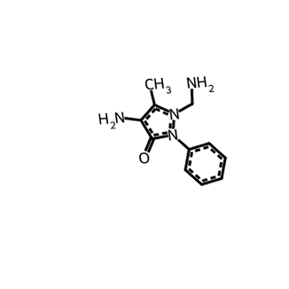 Cc1c(N)c(=O)n(-c2ccccc2)n1CN